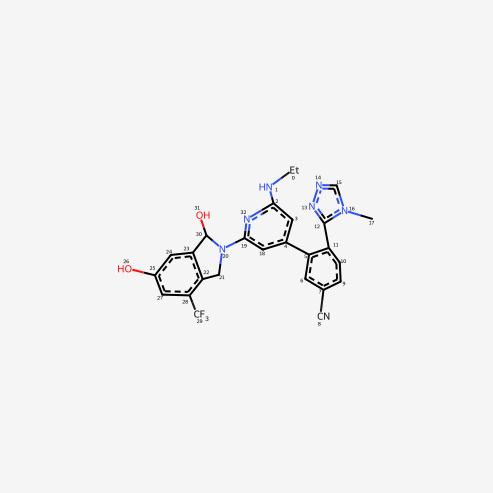 CCNc1cc(-c2cc(C#N)ccc2-c2nncn2C)cc(N2Cc3c(cc(O)cc3C(F)(F)F)C2O)n1